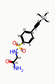 C[Si](C)(C)C#Cc1ccc(S(=O)(=O)NCC(N)=O)cc1